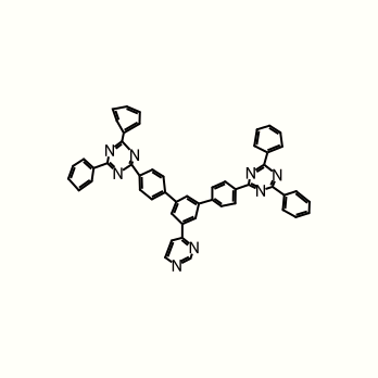 c1ccc(-c2nc(-c3ccccc3)nc(-c3ccc(-c4cc(-c5ccc(-c6nc(-c7ccccc7)nc(-c7ccccc7)n6)cc5)cc(-c5ccncn5)c4)cc3)n2)cc1